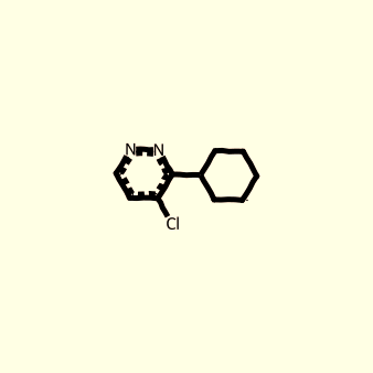 Clc1ccnnc1C1C[CH]CCC1